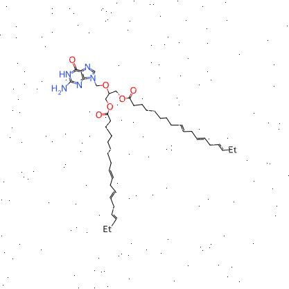 CCC=CCC=CCC=CCCCCCCCC(=O)OCC(COC(=O)CCCCCCCC=CCC=CCC=CCC)OCn1cnc2c(=O)[nH]c(N)nc21